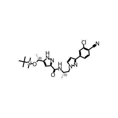 C[C@@H](Cn1ccc(-c2ccc(C#N)c(Cl)c2)n1)NC(=O)c1cc([C@@H](C)O[Si](C)(C)C(C)(C)C)[nH]n1